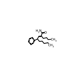 CCCCCC(C=C(CCCC)C(N)=O)c1ccccc1